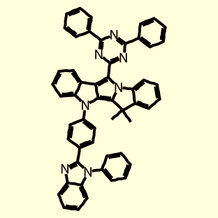 CC1(C)c2ccccc2-n2c(-c3nc(-c4ccccc4)nc(-c4ccccc4)n3)c3c4ccccc4n(-c4ccc(-c5nc6ccccc6n5-c5ccccc5)cc4)c3c21